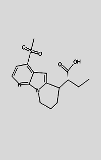 CCC(C(=O)O)C1CCCn2c1cc1c(S(C)(=O)=O)ccnc12